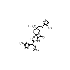 CCCn1cnnc1SCC1(C(=O)O)CS[C@@H]2C(NC(=O)C(=NOC)c3nsc(N)n3)C(=O)N2C1